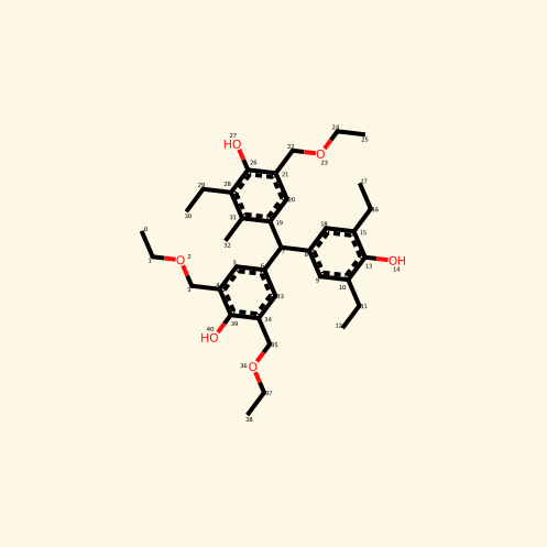 CCOCc1cc(C(c2cc(CC)c(O)c(CC)c2)c2cc(COCC)c(O)c(CC)c2C)cc(COCC)c1O